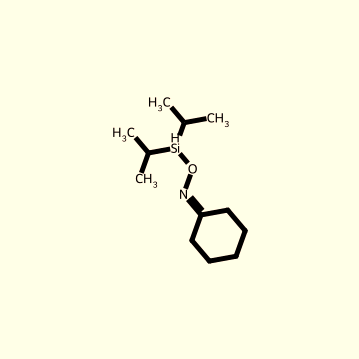 CC(C)[SiH](ON=C1CCCCC1)C(C)C